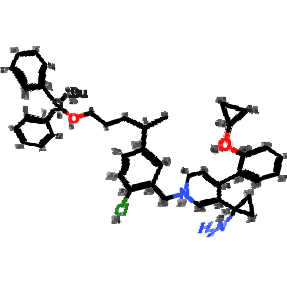 CC(CCCO[Si](c1ccccc1)(c1ccccc1)C(C)(C)C)c1ccc(Cl)c(CN2C=C(C3(N)CC3)C(c3ccccc3OC3CC3)=CC2)c1